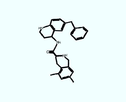 Cc1cc(C)c2c(c1)CNC(C(=O)NC1CCNc3ccc(Cc4ccccc4)cc31)C2